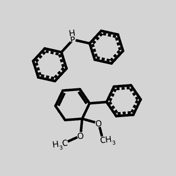 COC1(OC)CC=CC=C1c1ccccc1.c1ccc(Pc2ccccc2)cc1